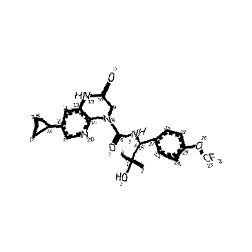 CC(C)(O)[C@@H](NC(=O)N1CC(=O)Nc2cc(C3CC3)cnc21)c1ccc(OC(F)(F)F)cc1